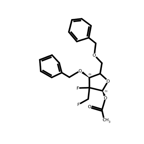 CC(=O)O[C@@H]1OC(COCc2ccccc2)[C@H](OCc2ccccc2)C1(F)CF